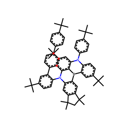 CC(C)(C)c1ccc(-c2ccc(-c3cc(C(C)(C)C)ccc3N3c4cc5c(cc4B4c6cc(C(C)(C)C)ccc6N(c6ccc(C(C)(C)C)cc6)c6cc(C(C)(C)C)cc3c64)C(C)(C)CC5(C)C)cc2)cc1